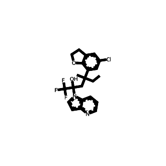 CCC(C)(CC(O)(n1ccc2ncccc21)C(F)(F)F)c1cc(Cl)cc2c1OCC2